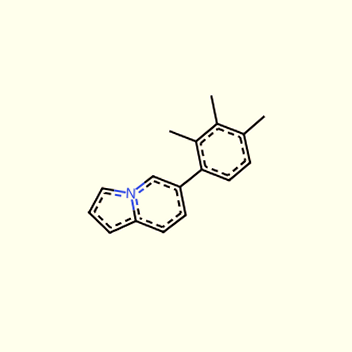 Cc1ccc(-c2ccc3cccn3c2)c(C)c1C